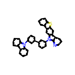 c1cc(-c2cccc(-n3c4cc5c(cc4c4cccnc43)sc3ccccc35)c2)cc(-n2c3ccccc3c3ccccc32)c1